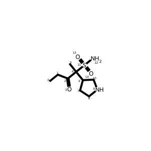 CCC(=O)C(C)(C1CCNC1)S(N)(=O)=O